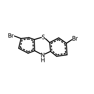 Brc1ccc2c(c1)Sc1cc(Br)ccc1N2